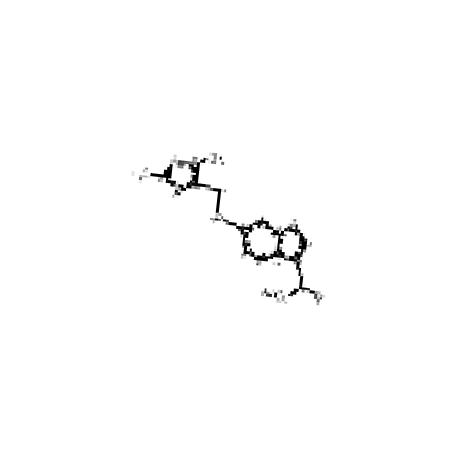 CCC(C(=O)O)c1csc2cc(OCc3sc(C)nc3C)ccc12